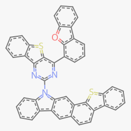 c1ccc2c(c1)oc1c(-c3nc(-n4c5ccccc5c5cc6ccc7c8ccccc8sc7c6cc54)nc4c3sc3ccccc34)cccc12